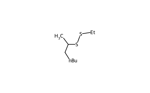 CCCCCC(C)SSCC